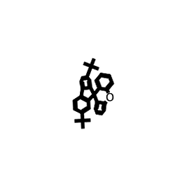 CC(C)(C)c1ccc2c(c1)C1(c3ccccc3Oc3ccccc31)c1cc(C(C)(C)C)ccc1-2